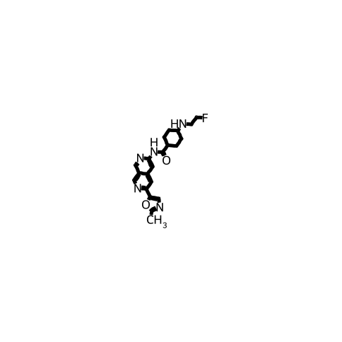 Cc1ncc(-c2cc3cc(NC(=O)C4CCC(NCCF)CC4)ncc3cn2)o1